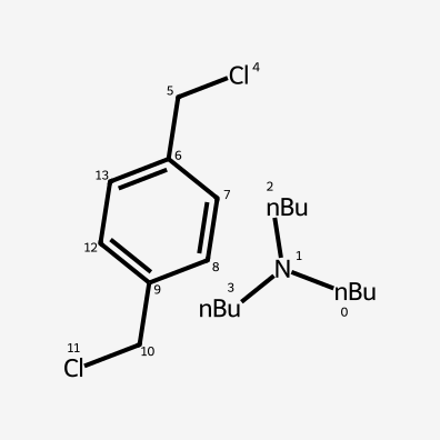 CCCCN(CCCC)CCCC.ClCc1ccc(CCl)cc1